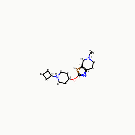 CCCN1CCc2nc(OC3CCN(C4CCC4)CC3)sc2C1